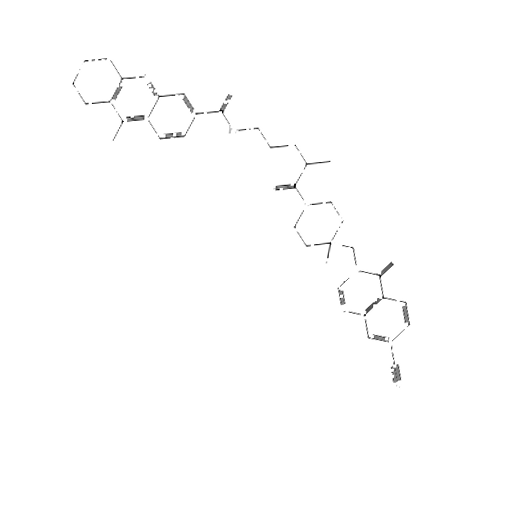 CC(CCCNC(=O)c1ccc2c(Cl)c3c(nc2c1)CCCC3)C(=O)N1CCC(O)(Cn2cnc3cc(C#N)ccc3c2=O)CC1